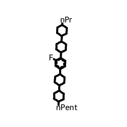 CCCCCC1CCC(C2CCC(c3ccc(C4CCC(C5CCC(CCC)CC5)CC4)c(F)c3)CC2)CC1